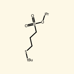 CC(C)OS(=O)(=O)CCCSC(C)(C)C